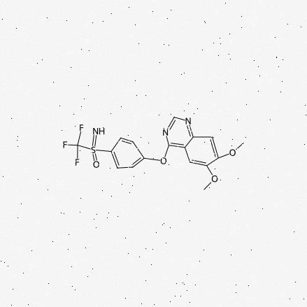 COc1cc2ncnc(Oc3ccc(S(=N)(=O)C(F)(F)F)cc3)c2cc1OC